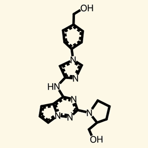 OCc1ccc(-n2cnc(Nc3nc(N4CCCC4CO)nn4cccc34)c2)cc1